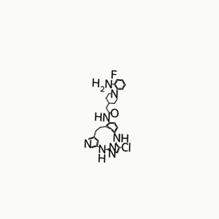 Nc1c(F)cccc1N1CCC(CC(=O)Nc2ccc3cc2CCc2cncc(c2)Nc2ncc(Cl)c(n2)N3)CC1